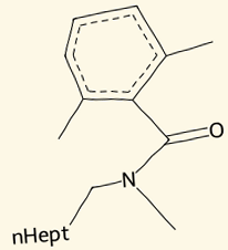 CCCCCCCCN(C)C(=O)c1c(C)cccc1C